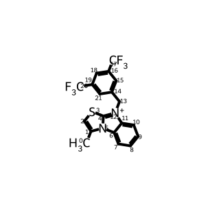 Cc1csc2n1c1ccccc1[n+]2Cc1cc(C(F)(F)F)cc(C(F)(F)F)c1